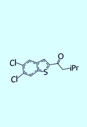 CC(C)CC(=O)c1cc2cc(Cl)c(Cl)cc2s1